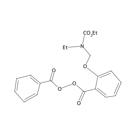 CCOC(=O)N(CC)COc1ccccc1C(=O)OOC(=O)c1ccccc1